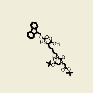 CC(C)(C)OC(=O)CN(CC(=O)OC(C)(C)C)C(=O)NCCCCC(NC(=O)OCC1c2ccccc2-c2ccccc21)C(=O)O